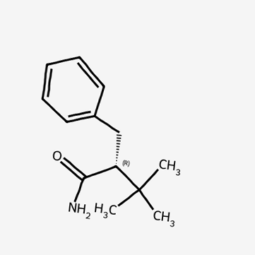 CC(C)(C)[C@@H](Cc1ccccc1)C(N)=O